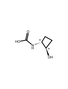 O=C(O)N[C@@H]1CC[C@H]1O